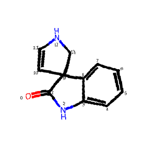 O=C1Nc2ccccc2C12C=CNC2